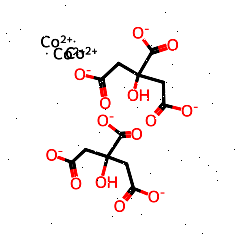 O=C([O-])CC(O)(CC(=O)[O-])C(=O)[O-].O=C([O-])CC(O)(CC(=O)[O-])C(=O)[O-].[Co+2].[Co+2].[Co+2]